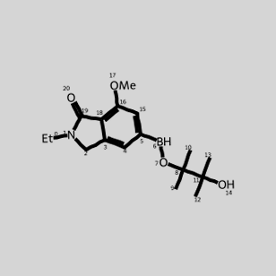 CCN1Cc2cc(BOC(C)(C)C(C)(C)O)cc(OC)c2C1=O